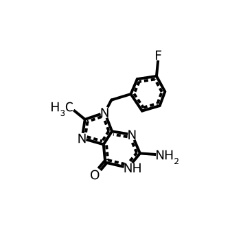 Cc1nc2c(=O)[nH]c(N)nc2n1Cc1cccc(F)c1